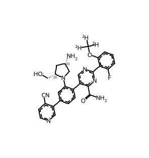 [2H]C([2H])([2H])Oc1cccc(F)c1-c1ncc(-c2ccc(-c3cnccc3C#N)cc2N2C[C@@H](N)C[C@H]2CO)c(C(N)=O)n1